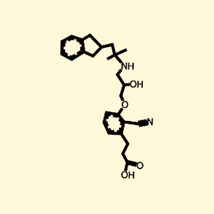 CC(C)(CC1Cc2ccccc2C1)NCC(O)COc1cccc(CCC(=O)O)c1C#N